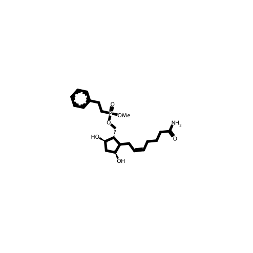 COP(=O)(CCc1ccccc1)OC[C@@H]1C(C/C=C\CCCC(N)=O)[C@@H](O)C[C@H]1O